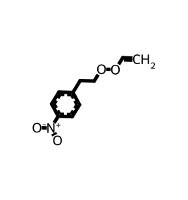 C=COOCCc1ccc([N+](=O)[O-])cc1